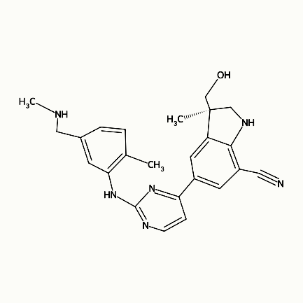 CNCc1ccc(C)c(Nc2nccc(-c3cc(C#N)c4c(c3)[C@@](C)(CO)CN4)n2)c1